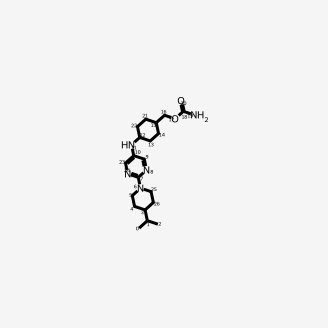 CC(C)C1CCN(c2ncc(NC3CCC(COC(N)=O)CC3)cn2)CC1